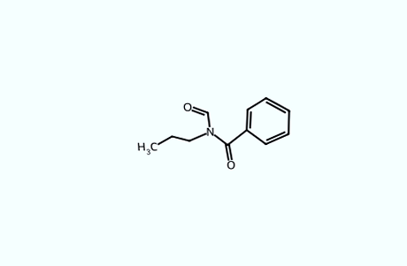 CCCN(C=O)C(=O)c1ccccc1